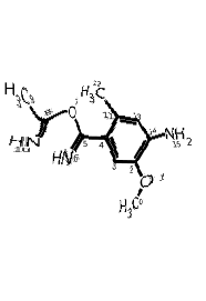 COc1cc(C(=N)OC(C)=N)c(C)cc1N